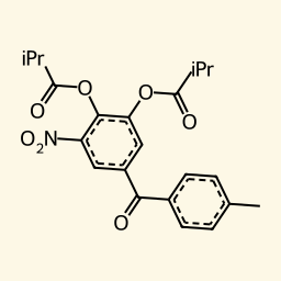 Cc1ccc(C(=O)c2cc(OC(=O)C(C)C)c(OC(=O)C(C)C)c([N+](=O)[O-])c2)cc1